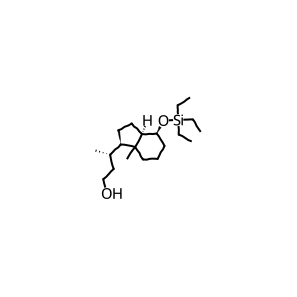 CC[Si](CC)(CC)O[C@H]1CCCC2(C)[C@@H]([C@@H](C)CCO)CC[C@@H]12